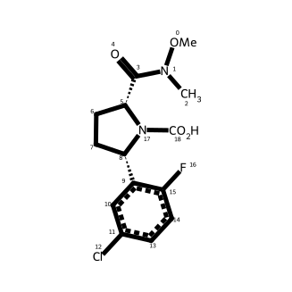 CON(C)C(=O)[C@H]1CC[C@@H](c2cc(Cl)ccc2F)N1C(=O)O